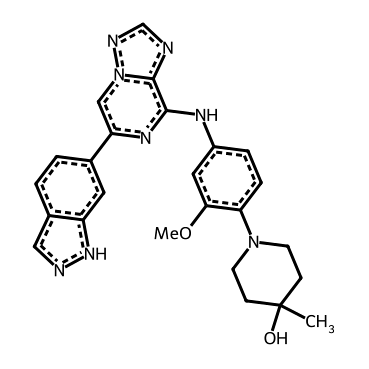 COc1cc(Nc2nc(-c3ccc4cn[nH]c4c3)cn3ncnc23)ccc1N1CCC(C)(O)CC1